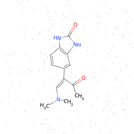 CC(=O)C(=CN(C)C)c1ccc2[nH]c(=O)[nH]c2c1